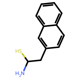 NC(S)Cc1ccc2ccccc2c1